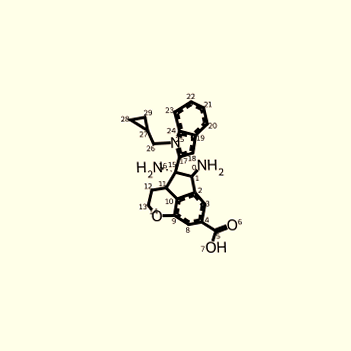 NC1c2cc(C(=O)O)cc3c2C(CCO3)[C@@]1(N)c1cc2ccccc2n1CC1CC1